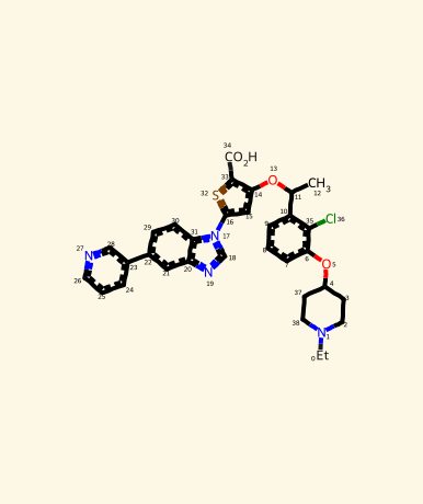 CCN1CCC(Oc2cccc(C(C)Oc3cc(-n4cnc5cc(-c6cccnc6)ccc54)sc3C(=O)O)c2Cl)CC1